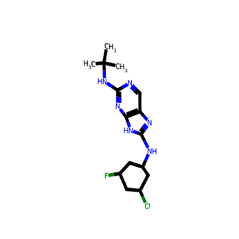 CC(C)(C)Nc1ncc2nc(NC3CC(F)CC(Cl)C3)[nH]c2n1